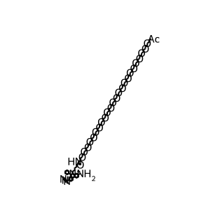 CC(=O)CCOCCOCCOCCOCCOCCOCCOCCOCCOCCOCCOCCOCCOCCOCCOCCOCCOCCOCCOCCOCCOCCOCCOCCOCCNC(=O)CCCCC[n+]1c(-c2ccccc2)c2cc(N=[N+]=[N-])ccc2c2ccc(N)cc21